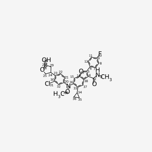 CNC(=O)c1c(-c2ccc(F)cc2)oc2cc(N(OC)c3ccc(C4COB(O)C4)c(Cl)c3)c(C3CC3)cc12